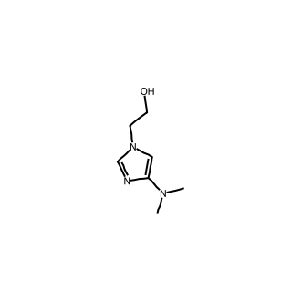 CN(C)c1cn(CCO)cn1